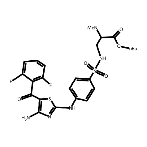 CCCCOC(=O)C(CNS(=O)(=O)c1ccc(Nc2nc(N)c(C(=O)c3c(F)cccc3F)s2)cc1)NC